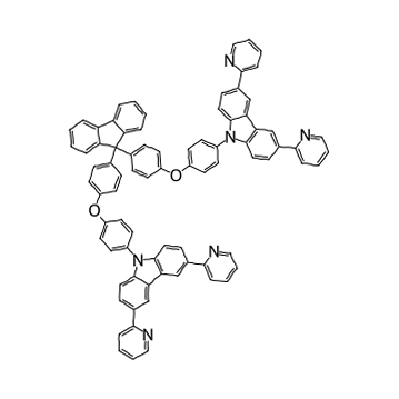 c1ccc(-c2ccc3c(c2)c2cc(-c4ccccn4)ccc2n3-c2ccc(Oc3ccc(C4(c5ccc(Oc6ccc(-n7c8ccc(-c9ccccn9)cc8c8cc(-c9ccccn9)ccc87)cc6)cc5)c5ccccc5-c5ccccc54)cc3)cc2)nc1